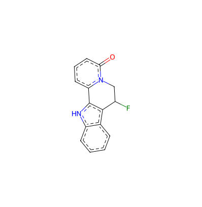 O=c1cccc2n1CC(F)c1c-2[nH]c2ccccc12